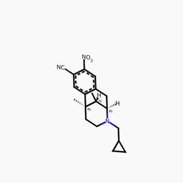 C[C@@H]1[C@H]2Cc3cc([N+](=O)[O-])c(C#N)cc3[C@]1(C)CCN2CC1CC1